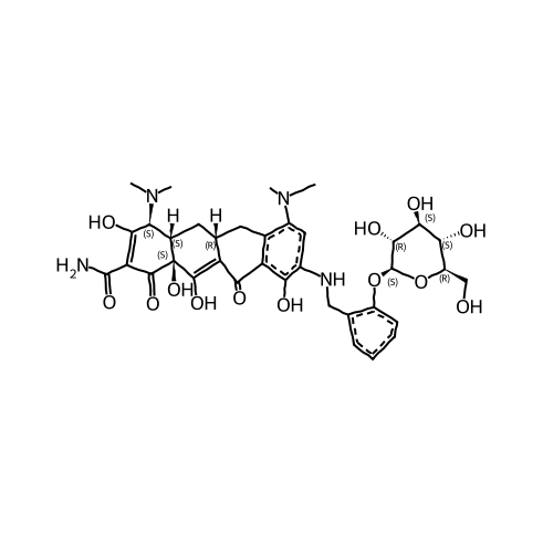 CN(C)c1cc(NCc2ccccc2O[C@@H]2O[C@H](CO)[C@@H](O)[C@H](O)[C@H]2O)c(O)c2c1C[C@H]1C[C@H]3[C@H](N(C)C)C(O)=C(C(N)=O)C(=O)[C@@]3(O)C(O)=C1C2=O